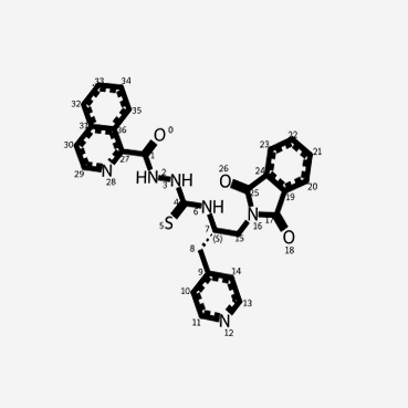 O=C(NNC(=S)N[C@@H](Cc1ccncc1)CN1C(=O)c2ccccc2C1=O)c1nccc2c[c]ccc12